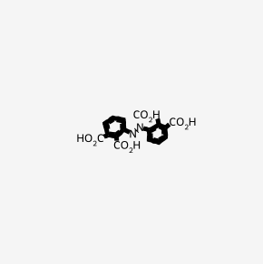 O=C(O)c1cccc(/N=N/c2cccc(C(=O)O)c2C(=O)O)c1C(=O)O